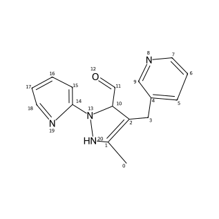 CC1=C(Cc2cccnc2)C(C=O)N(c2ccccn2)N1